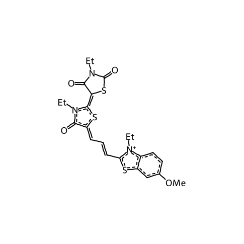 CCN1C(=O)S/C(=c2\s/c(=C\C=C\c3sc4cc(OC)ccc4[n+]3CC)c(=O)n2CC)C1=O